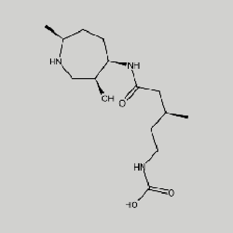 C[C@@H](CCNC(=O)O)CC(=O)N[C@@H]1CC[C@H](C)NC[C@@H]1O